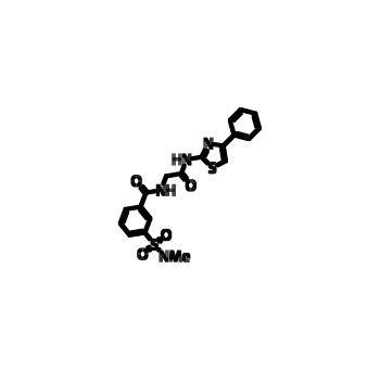 CNS(=O)(=O)c1cccc(C(=O)NCC(=O)Nc2nc(-c3ccccc3)cs2)c1